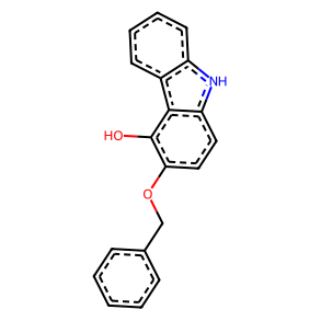 Oc1c(OCc2ccccc2)ccc2[nH]c3ccccc3c12